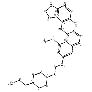 CC(C)Oc1cc(OCCN2CCN(CCO)CC2)cc2ncnc(Nc3c(Cl)cnc4c3OCO4)c12